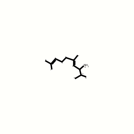 CC(C)=CCCC(C)=CC(N)C(C)C